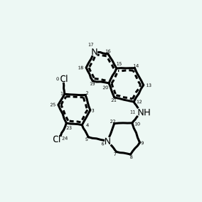 Clc1ccc(CN2CCCC(Nc3ccc4cnccc4c3)C2)c(Cl)c1